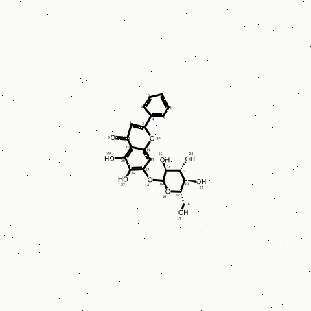 O=c1cc(-c2ccccc2)oc2cc(OC3O[C@@H](CO)[C@H](O)[C@@H](O)[C@@H]3O)c(O)c(O)c12